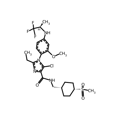 CCc1nc(C(=O)NC[C@H]2CC[C@@H](S(C)(=O)=O)CC2)c(Cl)n1-c1ccc(N[C@H](C)C(F)(F)F)cc1OC